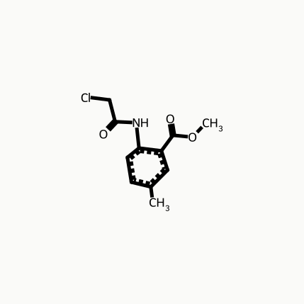 COC(=O)c1cc(C)ccc1NC(=O)CCl